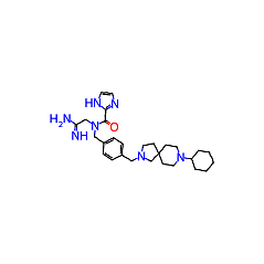 N=C(N)CN(Cc1ccc(CN2CCC3(CCN(C4CCCCC4)CC3)C2)cc1)C(=O)c1ncc[nH]1